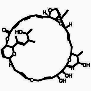 C/C(=C\C(C)C(C)O)C1O[C@@H]2C=CC1OC(=O)\C=C/C=C\C=C\[C@H]1OC3C[C@@H]1O[C@@H](/C=C/CC1O[C@H](C[C@H](O)C1C)C(O)C(O)/C=C/CC/C=C/C2)C3C